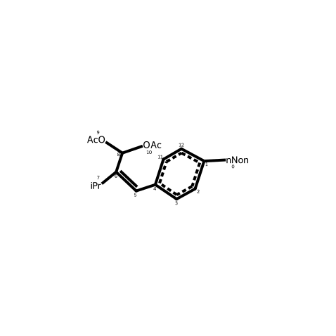 CCCCCCCCCc1ccc(C=C(C(C)C)C(OC(C)=O)OC(C)=O)cc1